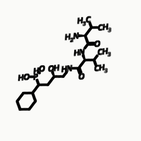 CC(C)[C@H](N)C(=O)N[C@H](C(=O)NC[C@H](O)CC(C1CCCCC1)[PH](=O)O)C(C)C